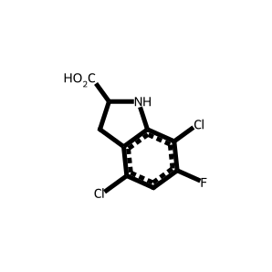 O=C(O)C1Cc2c(Cl)cc(F)c(Cl)c2N1